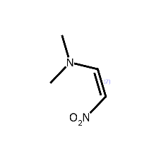 CN(C)/C=C\[N+](=O)[O-]